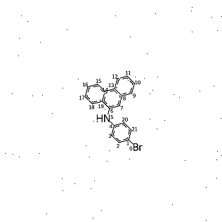 Brc1ccc(Nc2cc3ccccc3c3ccccc23)cc1